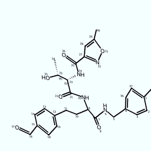 Cc1ccc(CNC(=O)C(CCc2ccc(C=O)cc2)NC(=O)[C@@H](NC(=O)c2cc(C)on2)[C@@H](C)O)cc1